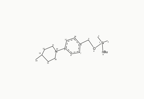 CCCC[Si](C)(C)OCc1ccc(N2CCC(C)CC2)cc1